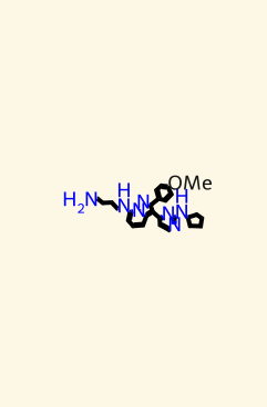 COc1ccc(-c2nn3c(NCCCCN)cccc3c2-c2ccnc(NC3CCCC3)n2)cc1